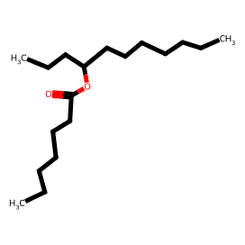 CCCCCCCC(CCC)OC(=O)CCCCCC